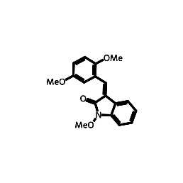 COc1ccc(OC)c(/C=C2\C(=O)N(OC)c3ccccc32)c1